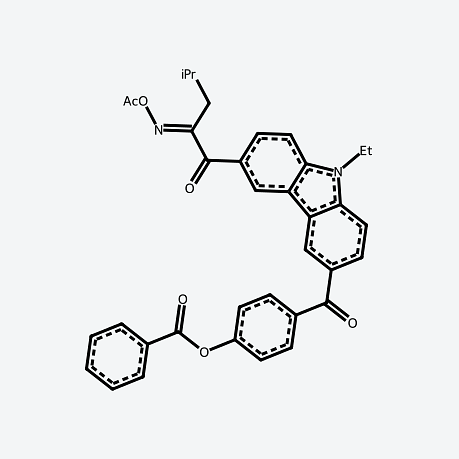 CCn1c2ccc(C(=O)/C(CC(C)C)=N/OC(C)=O)cc2c2cc(C(=O)c3ccc(OC(=O)c4ccccc4)cc3)ccc21